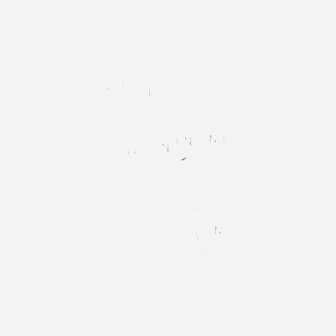 C=C(/C=C\C(F)=C/C)CN(C=O)C[C@@]1(c2ccc(-c3nccs3)cc2)NC(=O)NC1=O